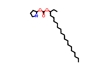 CCCCCCCCCCCCCCCCCC(CC)OC(=O)OC1CCC[N]1